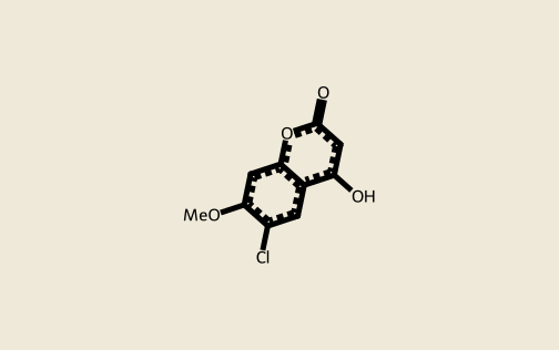 COc1cc2oc(=O)cc(O)c2cc1Cl